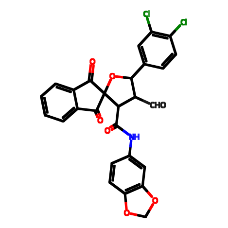 O=CC1C(c2ccc(Cl)c(Cl)c2)OC2(C(=O)c3ccccc3C2=O)C1C(=O)Nc1ccc2c(c1)OCO2